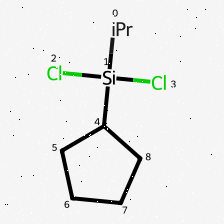 CC(C)[Si](Cl)(Cl)C1CCCC1